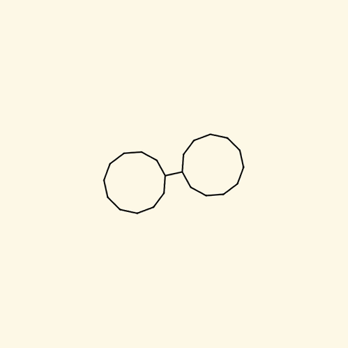 C1CCCCCC(C2CCCCCCCCCC2)CCCC1